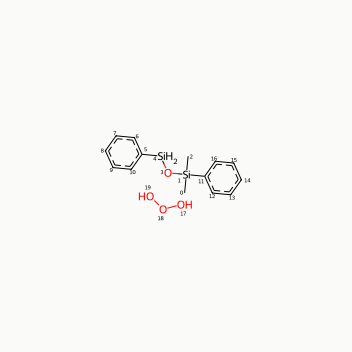 C[Si](C)(O[SiH2]c1ccccc1)c1ccccc1.OOO